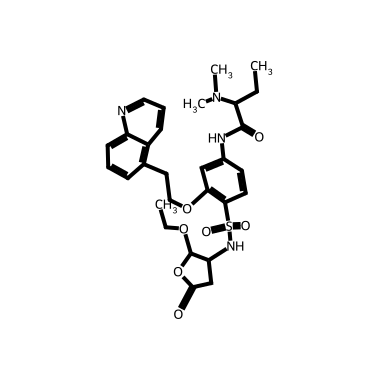 CCOC1OC(=O)CC1NS(=O)(=O)c1ccc(NC(=O)C(CC)N(C)C)cc1OCCc1cccc2ncccc12